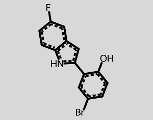 Oc1ccc(Br)cc1-c1cc2cc(F)ccc2[nH]1